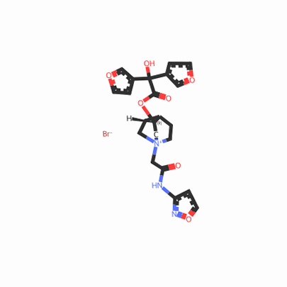 O=C(C[N+]12CCC(CC1)[C@@H](OC(=O)C(O)(c1ccoc1)c1ccoc1)C2)Nc1ccon1.[Br-]